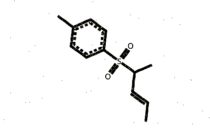 C/C=C/C(C)S(=O)(=O)c1ccc(C)cc1